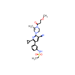 CCS(=O)(=O)Nc1cccc(-c2cc(C#N)c(N3CCN(C(=O)CCOC)[C@H](C)C3)nc2C2CC2)c1